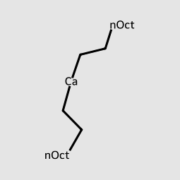 CCCCCCCCC[CH2][Ca][CH2]CCCCCCCCC